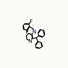 Fc1cccc(F)c1/C=N\C1C2CCN(CC2)C1C(c1ccccc1)c1ccccc1